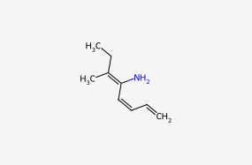 C=C/C=C\C(N)=C(/C)CC